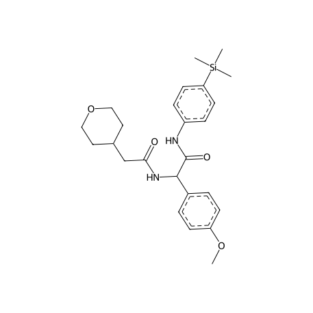 COc1ccc(C(NC(=O)CC2CCOCC2)C(=O)Nc2ccc([Si](C)(C)C)cc2)cc1